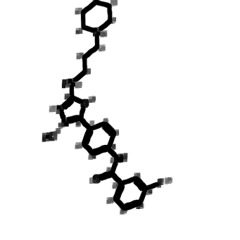 Cl.O=C(Nc1ccc(-c2nnc(NCCCN3CCCCC3)o2)cc1)c1cccc(F)c1